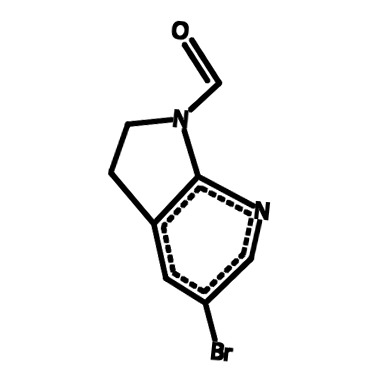 O=CN1CCc2cc(Br)cnc21